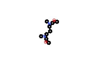 c1ccc(-n2c3ccc(-c4cccc(-c5ccc6c(c5)c5cc7c(cc5n6-c5ccccc5)oc5ccccc57)c4)cc3c3cc4c(cc32)oc2ccccc24)cc1